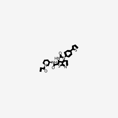 C=CC(=O)N1CCC[C@@H](NC(=O)c2sc3nccc4c3c2NC(=O)N4c2ccc(-c3cccs3)cc2)C1